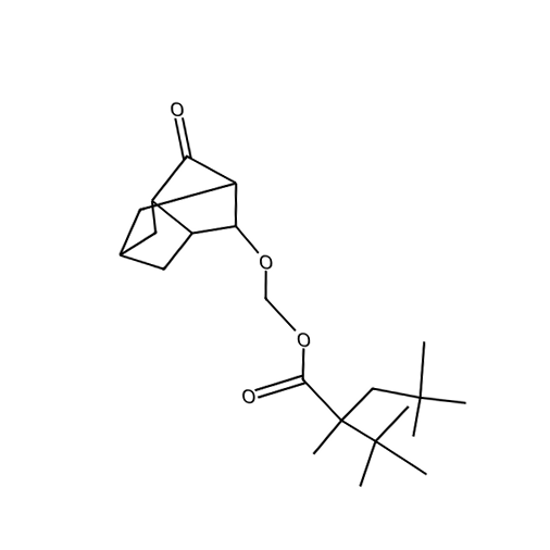 CC(C)(C)CC(C)(C(=O)OCOC1C2CC3CC(C2=O)C1C3)C(C)(C)C